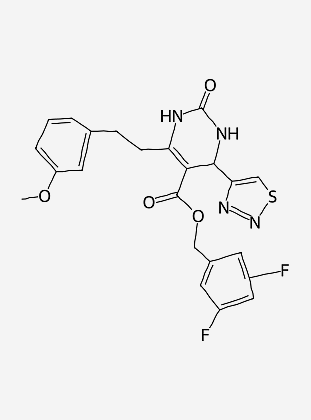 COc1cccc(CCC2=C(C(=O)OCc3cc(F)cc(F)c3)C(c3csnn3)NC(=O)N2)c1